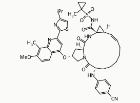 COc1ccc2c(O[C@@H]3C[C@H]4C(=O)N[C@]5(C(=O)NS(=O)(=O)C6(C)CC6)C[C@H]5/C=C\CCCCC[C@H](Nc5ccc(C#N)cc5)C(=O)N4C3)cc(-c3nc(C(C)C)cs3)nc2c1C